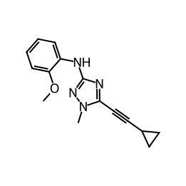 COc1ccccc1Nc1nc(C#CC2CC2)n(C)n1